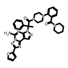 CC(C(=O)N1CCN(c2ccccc2C(=O)N2CCCCC2)CC1)(c1ccccc1)n1ncc2c1nc(N)n1nc(-c3ccco3)nc21